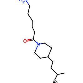 CC(C)C(C)CCC1CCN(C(=O)CCCCCN)CC1